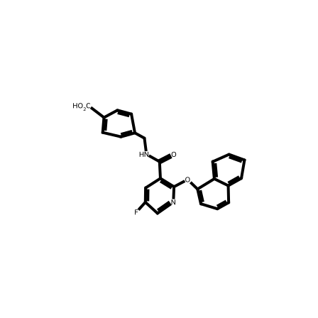 O=C(O)c1ccc(CNC(=O)c2cc(F)cnc2Oc2cccc3ccccc23)cc1